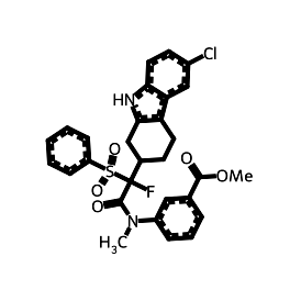 COC(=O)c1cccc(N(C)C(=O)C(F)(C2CCc3c([nH]c4ccc(Cl)cc34)C2)S(=O)(=O)c2ccccc2)c1